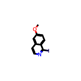 COc1ccc2c(I)nccc2c1